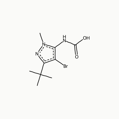 Cn1nc(C(C)(C)C)c(Br)c1NC(=O)O